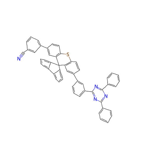 N#Cc1cccc(-c2ccc3c(c2)C2(c4cc(-c5cccc(-c6nc(-c7ccccc7)nc(-c7ccccc7)n6)c5)ccc4S3)c3ccccc3-c3ccccc32)c1